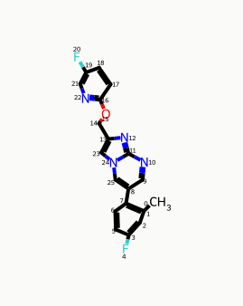 Cc1cc(F)ccc1-c1cnc2nc(COc3ccc(F)cn3)cn2c1